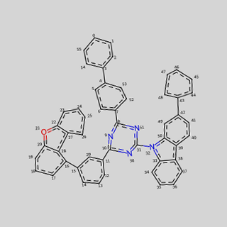 c1ccc(-c2ccc(-c3nc(-c4cccc(-c5cccc6oc7ccccc7c56)c4)nc(-n4c5ccccc5c5ccc(-c6ccccc6)cc54)n3)cc2)cc1